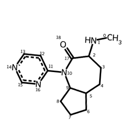 CNC1CCC2CCCC2N(c2ccncn2)C1=O